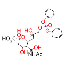 CC(=O)N[C@@H](O)C1C(O)CC(O)(C(=O)O)OC1C[C@H](O)COP(=O)(Oc1ccccc1)Oc1ccccc1